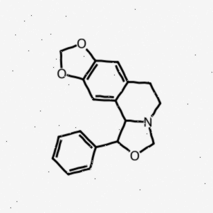 c1ccc(C2OCN3CCc4cc5c(cc4C23)OCO5)cc1